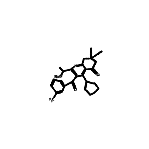 COC(C)c1nc2c(c(C3CCCC3)c1C(=O)c1cccc(C(F)(F)F)c1)C(=O)CC(C)(C)C2